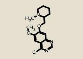 COc1cc2c(Cl)ncnc2cc1OCC1CCCCN1C